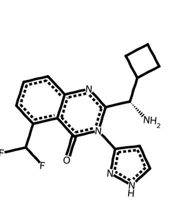 N[C@H](c1nc2cccc(C(F)F)c2c(=O)n1-c1cc[nH]n1)C1CCC1